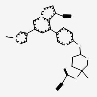 C#CC(=O)NC1(C)CCC(Nc2ccc(-c3cc(-c4cnn(C)c4)cn4ncc(C#N)c34)cn2)NC1